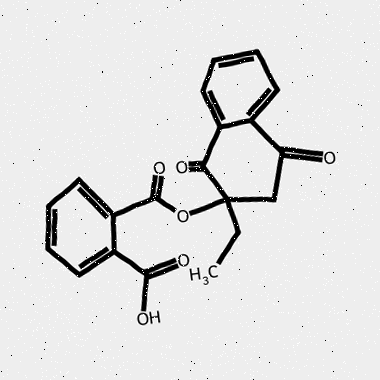 CCC1(OC(=O)c2ccccc2C(=O)O)CC(=O)c2ccccc2C1=O